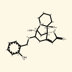 O=C1C=C2CC(SCc3ccccc3O)[C@@H]3C[C@@]2(O1)[C@H]1CCCCN31